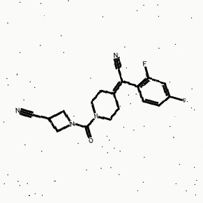 N#CC(=C1CCN(C(=O)N2CC(C#N)C2)CC1)c1ccc(F)cc1F